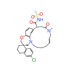 CN1C/C=C/CCCCN2C[C@@]3(CCCc4cc(Cl)ccc43)COc3ccc(cc32)C(C(=O)NS(C)(=O)=O)CC1=O